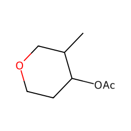 CC(=O)OC1CCOCC1C